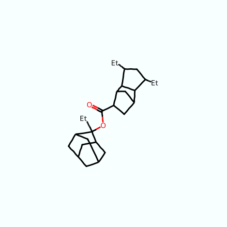 CCC1CC(CC)C2C3CC(CC3C(=O)OC3(CC)C4CC5CC(C4)CC3C5)C12